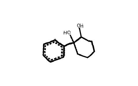 OC1CCCCC1(O)c1[c]cccc1